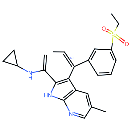 C=C(NC1CC1)c1[nH]c2ncc(C)cc2c1/C(=C\C)c1cccc(S(=O)(=O)CC)c1